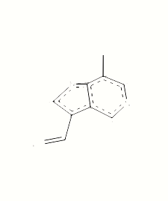 Cc1cncc2c(C=O)c[nH]c12